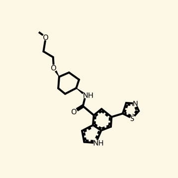 COCCO[C@H]1CC[C@@H](NC(=O)c2cc(-c3cncs3)cc3[nH]ccc23)CC1